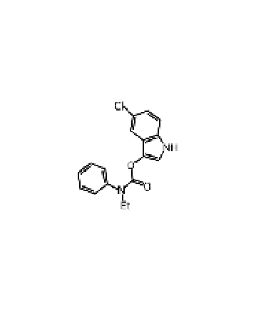 CCN(C(=O)Oc1c[nH]c2ccc(Cl)cc12)c1ccccc1